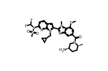 COc1cc(C(=O)N2C[C@H](N)CC[C@@H]2C)cc2nc(-c3cc4ccc(N(C(F)F)S(C)(=O)=O)nc4n3CC3CC3)n(C)c12